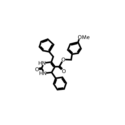 COc1ccc(COC(=O)C2=C(Cc3ccccc3)NC(=O)NC2c2ccccc2)cc1